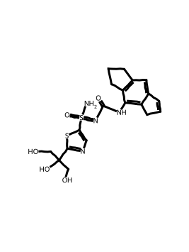 NS(=O)(=NC(=O)Nc1c2c(cc3c1CCC3)C=CC2)c1cnc(C(O)(CO)CO)s1